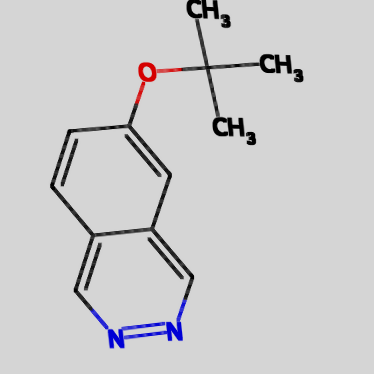 CC(C)(C)Oc1ccc2cnncc2c1